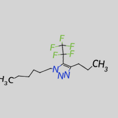 CCCCCCn1nnc(CCC)c1C(F)(F)C(F)(F)F